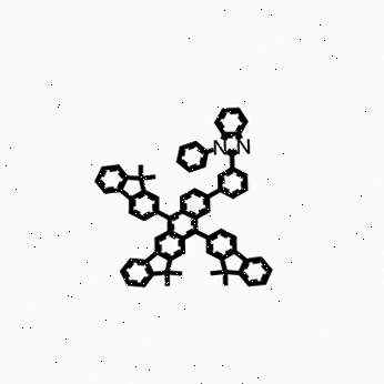 CC1(C)c2ccccc2-c2ccc(-c3c4ccc(-c5cccc(-c6nc7ccccc7n6-c6ccccc6)c5)cc4c(-c4ccc5c(c4)C(C)(C)c4ccccc4-5)c4cc5c(cc34)-c3ccccc3C5(C)C)cc21